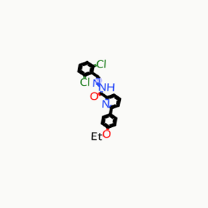 CCOc1ccc(-c2cccc(C(=O)N/N=C/c3c(Cl)cccc3Cl)n2)cc1